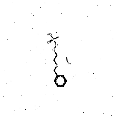 CCCC.CP(=O)(O)OOCCOCc1ccccc1